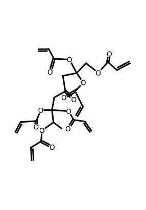 C=CC(=O)OCC(CC(=O)CC(OC(=O)C=C)(OC(=O)C=C)C(C)OC(=O)C=C)(OC(=O)C=C)OC(=O)C=C